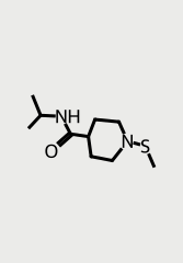 CSN1CCC(C(=O)NC(C)C)CC1